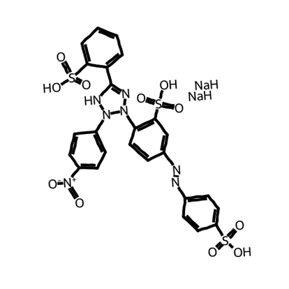 O=[N+]([O-])c1ccc(N2NC(c3ccccc3S(=O)(=O)O)=NN2c2ccc(N=Nc3ccc(S(=O)(=O)O)cc3)cc2S(=O)(=O)O)cc1.[NaH].[NaH]